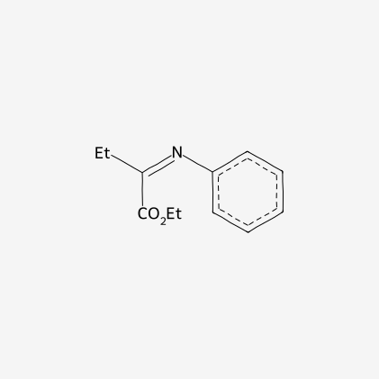 CCOC(=O)/C(CC)=N\c1ccccc1